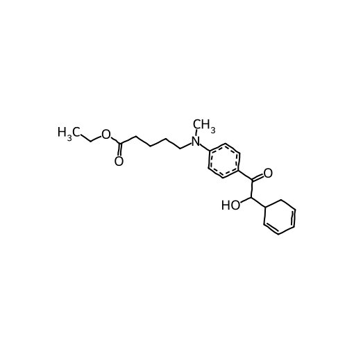 CCOC(=O)CCCCN(C)c1ccc(C(=O)C(O)C2C=CC=CC2)cc1